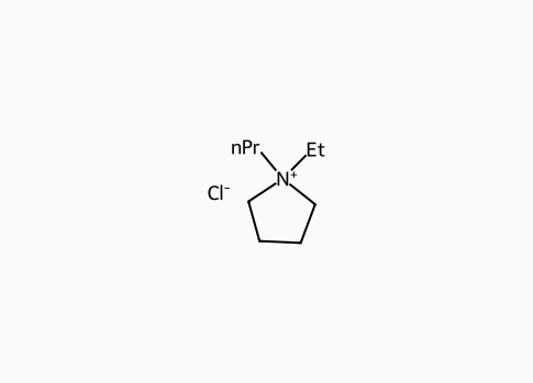 CCC[N+]1(CC)CCCC1.[Cl-]